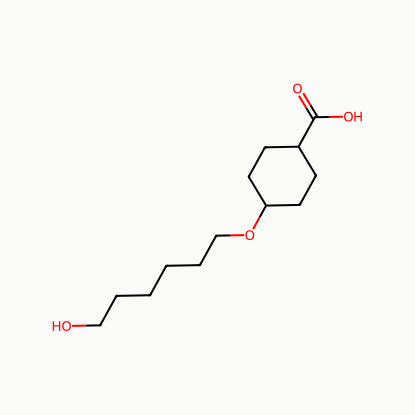 O=C(O)C1CCC(OCCCCCCO)CC1